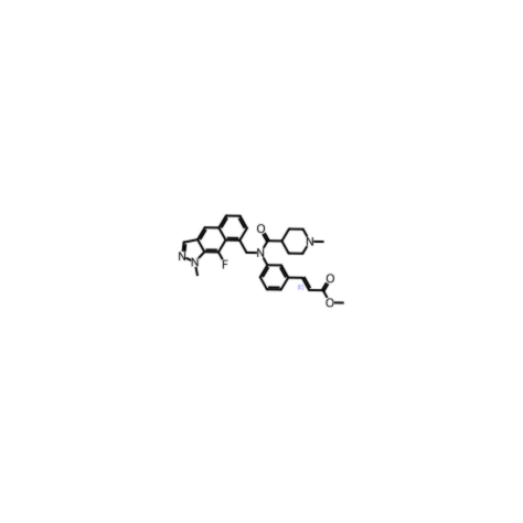 COC(=O)/C=C/c1cccc(N(Cc2cccc3cc4cnn(C)c4c(F)c23)C(=O)C2CCN(C)CC2)c1